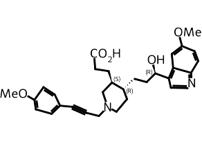 COc1ccc(C#CCN2CC[C@@H](CC[C@@H](O)c3ccnc4ccc(OC)cc34)[C@H](CCC(=O)O)C2)cc1